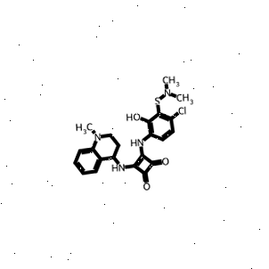 CN(C)Sc1c(Cl)ccc(Nc2c(NC3CCN(C)c4ccccc43)c(=O)c2=O)c1O